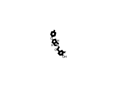 Cc1ccc(O[C@H]2C[C@@H]3CN(CC(=O)c4ccc(O)c(F)c4)C[C@@H]3C2)cc1